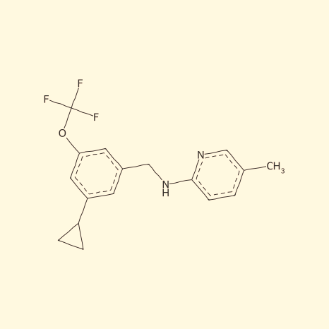 Cc1ccc(NCc2cc(OC(F)(F)F)cc(C3CC3)c2)nc1